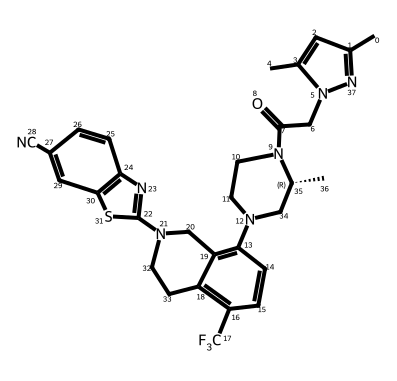 Cc1cc(C)n(CC(=O)N2CCN(c3ccc(C(F)(F)F)c4c3CN(c3nc5ccc(C#N)cc5s3)CC4)C[C@H]2C)n1